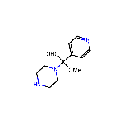 COC(C=O)(c1ccncc1)N1CCNCC1